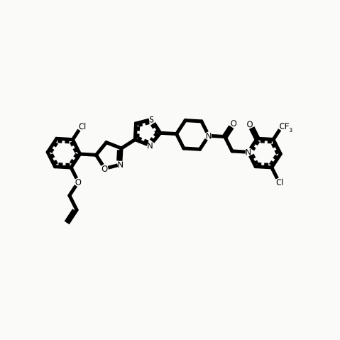 C=CCOc1cccc(Cl)c1C1CC(c2csc(C3CCN(C(=O)Cn4cc(Cl)cc(C(F)(F)F)c4=O)CC3)n2)=NO1